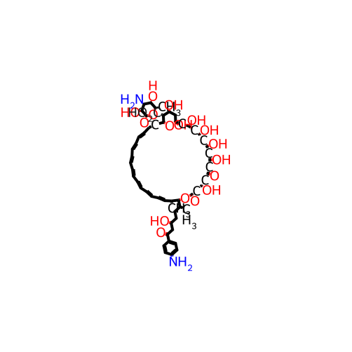 CC1/C=C/C=C/C=C/C=C/C=C/C=C/C=C/C(O[C@@H]2O[C@H](C)[C@@H](O)[C@H](N)[C@@H]2O)CC2OC(O)(CC(O)CC(O)CC(O)CC(O)CC(=O)CC(O)CC(=O)OC1C(C)CCC(O)CC(=O)c1ccc(N)cc1)CC(O)C2C(=O)O